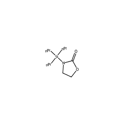 CCC[Si](CCC)(CCC)N1CCOC1=O